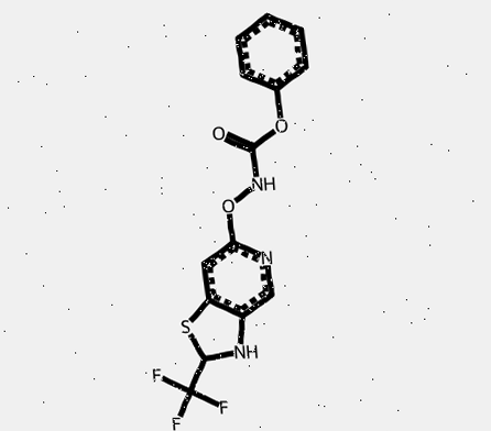 O=C(NOc1cc2c(cn1)NC(C(F)(F)F)S2)Oc1ccccc1